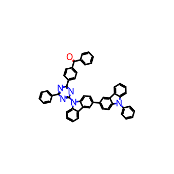 O=C(c1ccccc1)c1ccc(-c2nc(-c3ccccc3)nc(-n3c4ccccc4c4cc(-c5ccc6c(c5)c5ccccc5n6-c5ccccc5)ccc43)n2)cc1